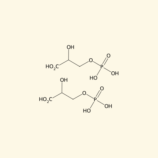 O=C(O)C(O)COP(=O)(O)O.O=C(O)C(O)COP(=O)(O)O